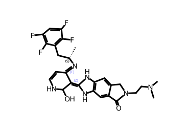 C[C@@H](Cc1c(F)c(F)cc(F)c1F)/N=C1\C=CNC(O)\C1=C1\Nc2cc3c(cc2N1)C(=O)N(CCN(C)C)C3